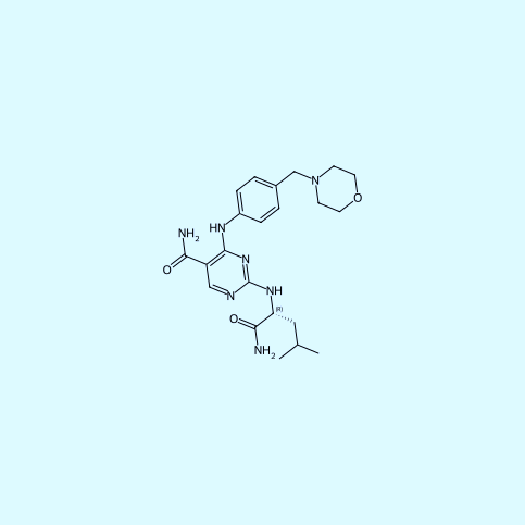 CC(C)C[C@@H](Nc1ncc(C(N)=O)c(Nc2ccc(CN3CCOCC3)cc2)n1)C(N)=O